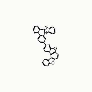 c1ccc2c(c1)nc1c3ccccc3c3ccc(-c4ccc5c(c4)oc4ccc6oc7ccccc7c6c45)cc3n21